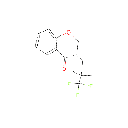 CC(C)(CC1COc2ccccc2C1=O)C(F)(F)F